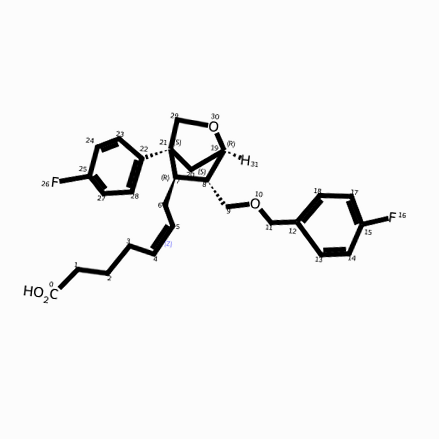 O=C(O)CCC/C=C\C[C@@H]1[C@@H](COCc2ccc(F)cc2)[C@H]2C[C@]1(c1ccc(F)cc1)CO2